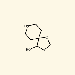 OC1CCOC12CCNCC2